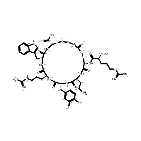 CC(=O)N[C@@H](CCCNC(=N)N)C(=O)N[C@H]1CCC(=O)NCCC[C@@H](C(N)=O)NC(=O)[C@H](Cc2c[nH]c3ccccc23)NC(=O)[C@H](CCCNC(=N)N)NC(=O)[C@@H](Cc2ccc(F)c(F)c2)NC(=O)[C@H](CCN)NC1=O